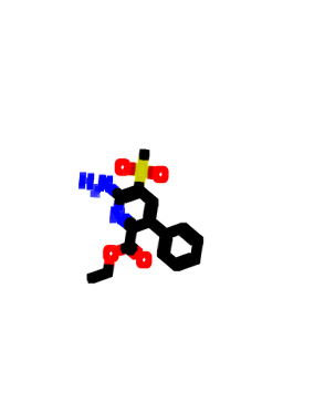 CCOC(=O)c1nc(N)c(S(C)(=O)=O)cc1-c1ccccc1